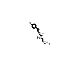 CCCNC(=O)CNCCc1ccc(F)cc1